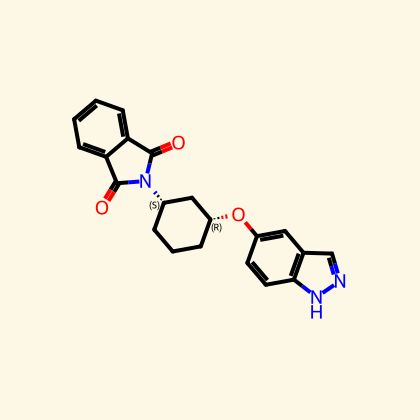 O=C1c2ccccc2C(=O)N1[C@H]1CCC[C@@H](Oc2ccc3[nH]ncc3c2)C1